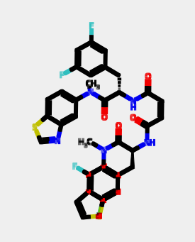 CN(C(=O)[C@H](Cc1cc(F)cc(F)c1)NC(=O)/C=C\C(=O)N[C@@H](Cc1cc(F)cc(F)c1)C(=O)N(C)c1ccc2scnc2c1)c1ccc2sccc2c1